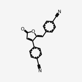 N#Cc1ccc(/C=C2\OC(=O)C=C2c2ccc(C#N)cc2)cc1